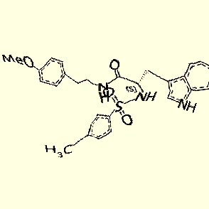 COc1ccc(CCNC(=O)[C@H](Cc2c[nH]c3ccccc23)NS(=O)(=O)c2ccc(C)cc2)cc1